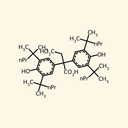 CCCC(C)(C)c1cc(C(CC(=O)O)(C(=O)O)c2cc(C(C)(C)CCC)c(O)c(C(C)(C)CCC)c2)cc(C(C)(C)CCC)c1O